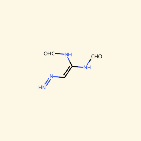 N=NC=C(NC=O)NC=O